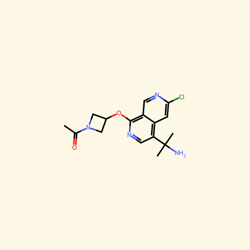 CC(=O)N1CC(Oc2ncc(C(C)(C)N)c3cc(Cl)ncc23)C1